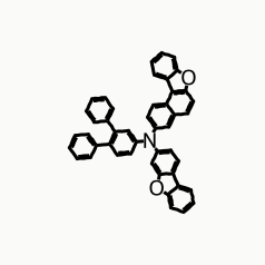 c1ccc(-c2ccc(N(c3ccc4c(ccc5oc6ccccc6c54)c3)c3ccc4c(c3)oc3ccccc34)cc2-c2ccccc2)cc1